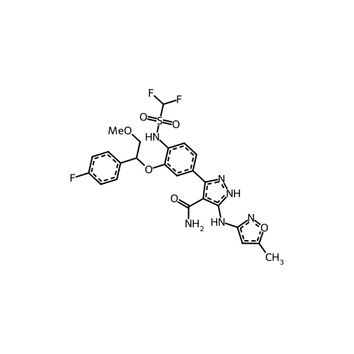 COCC(Oc1cc(-c2n[nH]c(Nc3cc(C)on3)c2C(N)=O)ccc1NS(=O)(=O)C(F)F)c1ccc(F)cc1